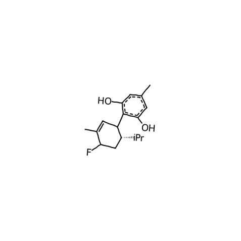 CC1=CC(c2c(O)cc(C)cc2O)[C@H](C(C)C)CC1F